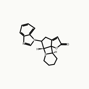 O=C1C=C2CC(n3cnc4ccccc43)[C@H]3N4CCCC[C@@H]4C23O1